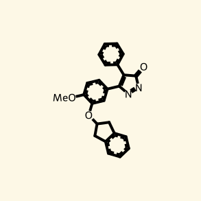 COc1ccc(C2=C(c3ccccc3)C(=O)N=N2)cc1OC1Cc2ccccc2C1